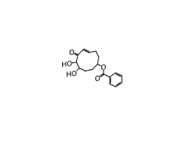 O=C(OC1CC/C=C/C(=O)C(O)C(O)CC1)c1ccccc1